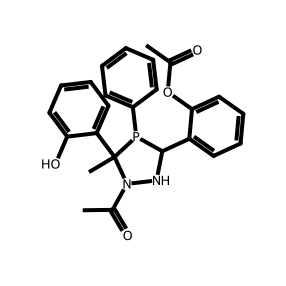 CC(=O)Oc1ccccc1C1NN(C(C)=O)C(C)(c2ccccc2O)P1c1ccccc1